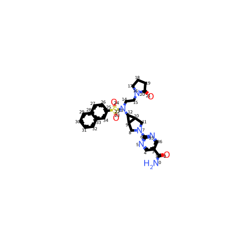 NC(=O)c1cnc(N2CC3C(C2)C3N(CCN2CCCC2=O)S(=O)(=O)c2ccc3ccccc3c2)nc1